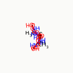 CC(=O)NC(CCCCNC(=O)CCC(=O)O)C(=O)Nc1ccc2c(c1)Oc1cc(NC(=O)C(CCCCNC(=O)CCC(=O)O)NC(C)=O)ccc1C21OC(=O)c2ccccc21